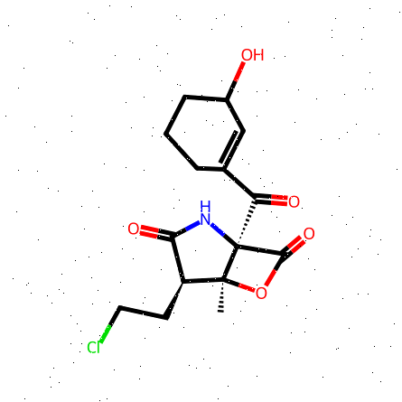 C[C@@]12OC(=O)[C@]1(C(=O)C1=CC(O)CCC1)NC(=O)[C@@H]2CCCl